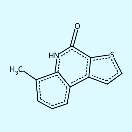 Cc1cccc2c1[nH]c(=O)c1sccc12